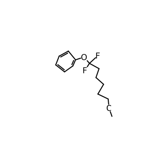 CCCCCCCC(F)(F)Oc1ccccc1